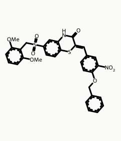 COc1cccc(OC)c1CS(=O)(=O)c1ccc2c(c1)NC(=O)C(=Cc1ccc(OCc3ccccc3)c([N+](=O)[O-])c1)S2